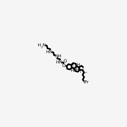 CC(C)CCC[C@@H](C)[C@H]1CC[C@H]2[C@@H]3CC=C4C[C@@H](OC(=O)NCCNCCNCCCN)CC[C@]4(C)[C@H]3CC[C@]12C